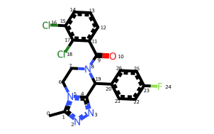 Cc1nnc2n1CCN(C(=O)c1cccc(Cl)c1Cl)C2c1ccc(F)cc1